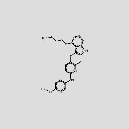 COCCOc1ncnc2[nH]cc(Cc3ccc(Nc4ccc(OC)nc4)nc3F)c12